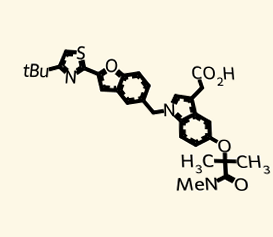 CNC(=O)C(C)(C)Oc1ccc2c(c1)c(CC(=O)O)cn2Cc1ccc2oc(-c3nc(C(C)(C)C)cs3)cc2c1